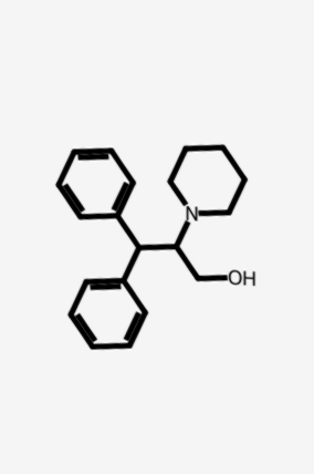 OCC(C(c1ccccc1)c1ccccc1)N1CCCCC1